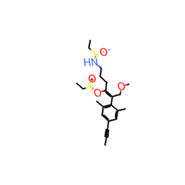 CC#Cc1cc(C)c(/C(COC)=C(/CCCN[S+]([O-])CC)OS(=O)CC)c(C)c1